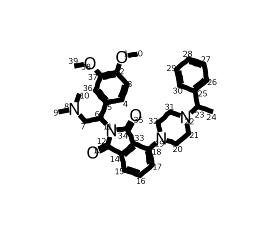 COc1ccc(C(CN(C)C)N2C(=O)c3cccc(N4CCN(C(C)c5ccccc5)CC4)c3C2=O)cc1OC